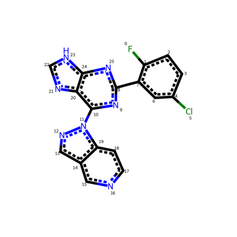 Fc1ccc(Cl)cc1-c1nc(-n2ncc3cnccc32)c2nc[nH]c2n1